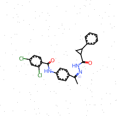 C/C(=N/NC(=O)C1CC1c1ccccc1)c1ccc(NC(=O)c2ccc(Cl)cc2Cl)cc1